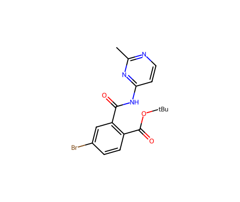 Cc1nccc(NC(=O)c2cc(Br)ccc2C(=O)OC(C)(C)C)n1